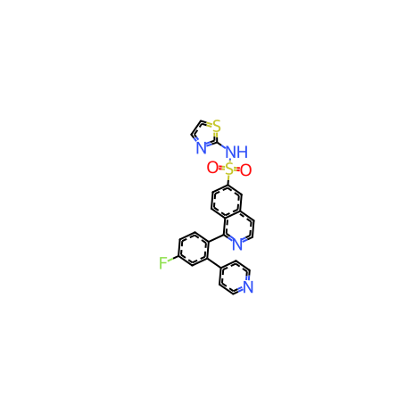 O=S(=O)(Nc1nccs1)c1ccc2c(-c3ccc(F)cc3-c3ccncc3)nccc2c1